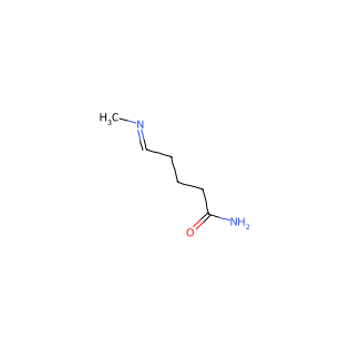 C/N=C/CCCC(N)=O